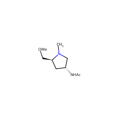 COC[C@@H]1C[C@@H](NC(C)=O)CN1C